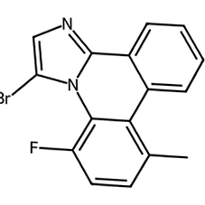 Cc1ccc(F)c2c1c1ccccc1c1ncc(Br)n12